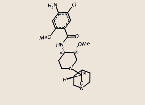 COc1cc(N)c(Cl)cc1C(=O)N[C@H]1CCN([C@H]2CN3CCC2CC3)C[C@H]1OC